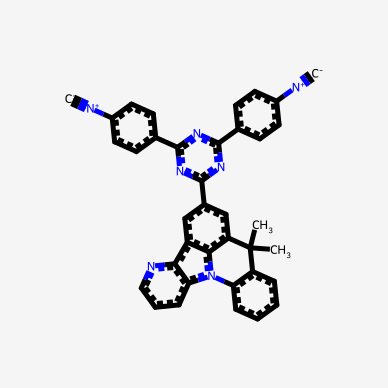 [C-]#[N+]c1ccc(-c2nc(-c3ccc([N+]#[C-])cc3)nc(-c3cc4c5c(c3)c3ncccc3n5-c3ccccc3C4(C)C)n2)cc1